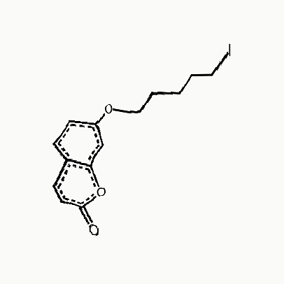 O=c1ccc2ccc(OCCCCCI)cc2o1